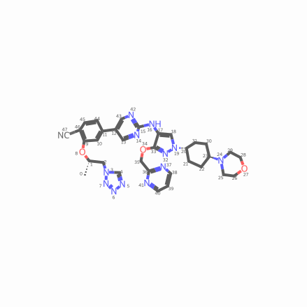 C[C@@H](Cn1cnnn1)Oc1cc(-c2cnc(Nc3cn([C@H]4CC[C@H](N5CCOCC5)CC4)nc3OCc3ncccn3)nc2)ccc1C#N